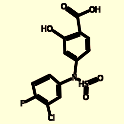 O=C(O)c1ccc(N(c2ccc(F)c(Cl)c2)[SH](=O)=O)cc1O